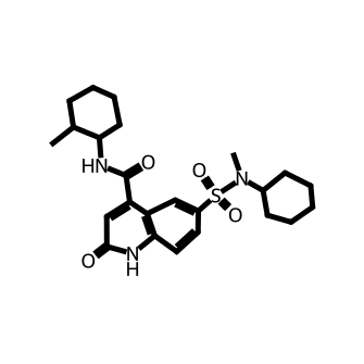 CC1CCCCC1NC(=O)c1cc(=O)[nH]c2ccc(S(=O)(=O)N(C)C3CCCCC3)cc12